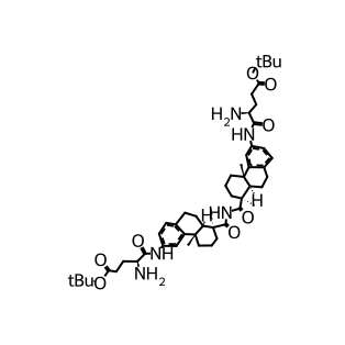 CC(C)(C)OC(=O)CC[C@H](N)C(=O)Nc1ccc2c(c1)[C@@]1(C)CCC[C@](C)(C(=O)NC(=O)[C@@]3(C)CCC[C@]4(C)c5cc(NC(=O)[C@@H](N)CCC(=O)OC(C)(C)C)ccc5CC[C@@H]34)[C@@H]1CC2